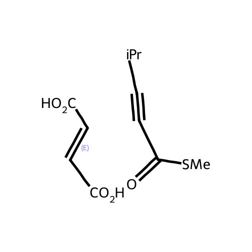 CSC(=O)C#CC(C)C.O=C(O)/C=C/C(=O)O